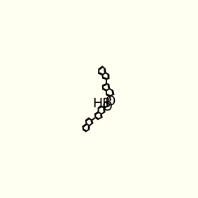 B(Oc1ccc2cc(-c3ccc4ccccc4c3)ccc2c1)Oc1ccc2cc(-c3ccc4ccccc4c3)ccc2c1